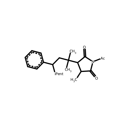 CCCC(C)C(CC(C)(C)C1C(=O)N(C(C)=O)C(=O)C1C)c1ccccc1